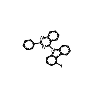 Ic1cccc2c1c1ccccc1n2-c1nc(-c2ccccc2)nc2ccccc12